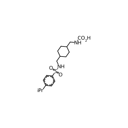 CC(C)c1ccc(S(=O)(=O)NCC2CCC(CNC(=O)O)CC2)cc1